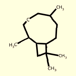 CC1CCCC(C)C2CC(C)(C)C2CC1